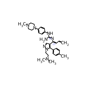 C=C/C=C(\N=C(/N)Nc1ccc(N2CCN(C)CC2)cc1)c1cnn(CCN(C)C)c1-c1ccc(C)cc1